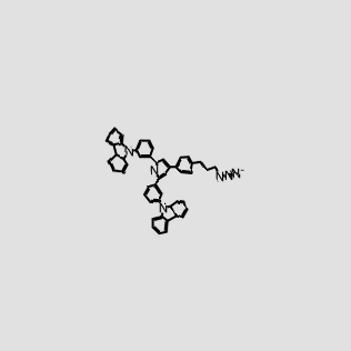 [N-]=[N+]=NCCCc1ccc(-c2cc(-c3cccc(N4c5ccccc5C5C=CC=CC54)c3)nc(-c3cccc(N4c5ccccc5C5C=CC=CC54)c3)c2)cc1